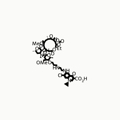 CC[C@@H]1OC(=O)[C@H](C)[C@H](O[C@@H]2C[C@](C)(OC)[C@H](OCCCNCCNc3cc4c(=O)c(C(=O)O)cn(C5CC5)c4cc3Cl)[C@H](C)O2)[C@@H](C)[C@H](O[C@H]2O[C@@H](C)C[C@@H](N(C)C)[C@H]2O)[C@](C)(OC)C[C@H](C)C(=O)C(C)[C@H]2OC(=O)O[C@@]12C